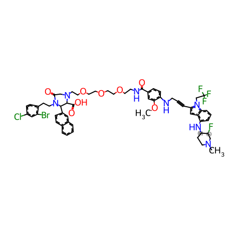 COc1cc(C(=O)NCCOCCOCCOCCN2CC(=O)N(CCc3ccc(Cl)cc3Br)C(c3ccc4ccccc4c3)C2C(=O)O)ccc1NCC#Cc1cc2c(N[C@@H]3CCN(C)C[C@@H]3F)cccc2n1CC(F)(F)F